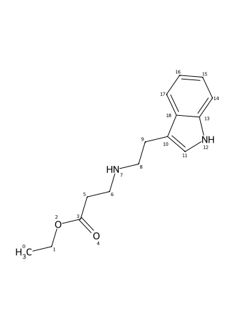 CCOC(=O)CCNCCc1c[nH]c2ccccc12